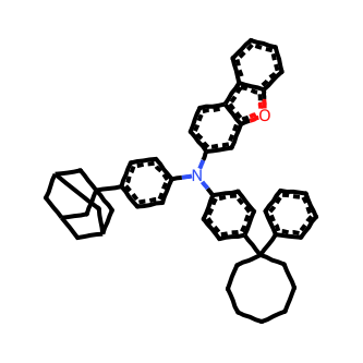 c1ccc(C2(c3ccc(N(c4ccc(C56CC7CC(CC(C7)C5)C6)cc4)c4ccc5c(c4)oc4ccccc45)cc3)CCCCCCC2)cc1